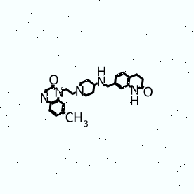 Cc1ccc2ncc(=O)n(CCN3CCC(NCc4ccc5c(c4)NC(=O)CC5)CC3)c2c1